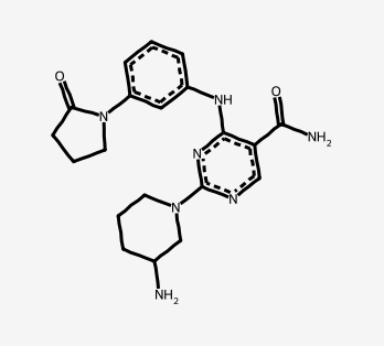 NC(=O)c1cnc(N2CCCC(N)C2)nc1Nc1cccc(N2CCCC2=O)c1